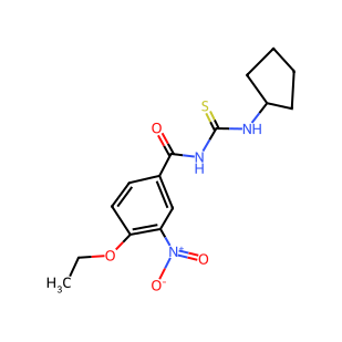 CCOc1ccc(C(=O)NC(=S)NC2CCCC2)cc1[N+](=O)[O-]